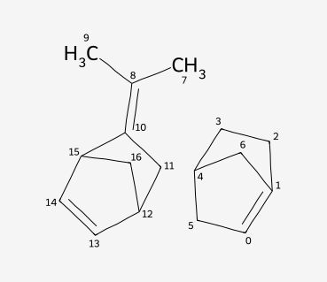 C1=C2CCC(C1)C2.CC(C)=C1CC2C=CC1C2